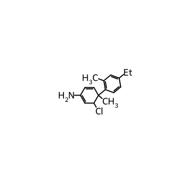 CCc1ccc(C2(C)C=CC(N)=CC2Cl)c(C)c1